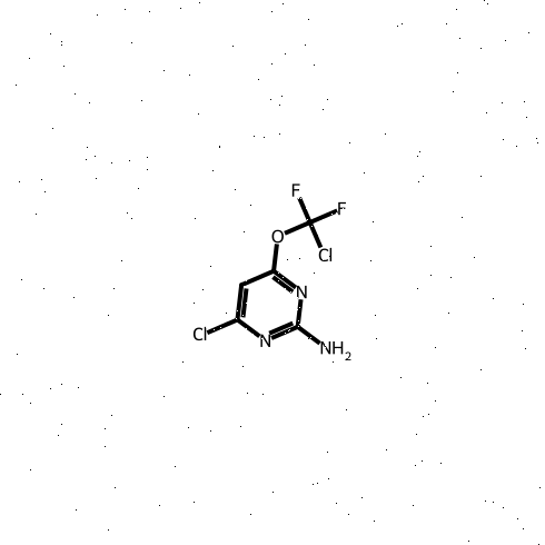 Nc1nc(Cl)cc(OC(F)(F)Cl)n1